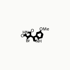 COc1ccc2[nH]cc(C3=C(Br)C(=O)NC3=O)c2c1